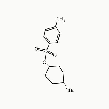 Cc1ccc(S(=O)(=O)O[C@H]2CC[C@@H](C(C)(C)C)CC2)cc1